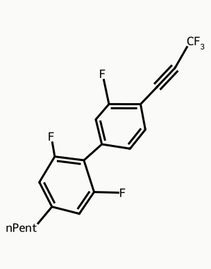 CCCCCc1cc(F)c(-c2ccc(C#CC(F)(F)F)c(F)c2)c(F)c1